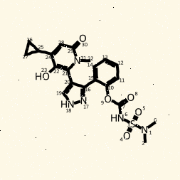 CN(C)S(=O)(=O)NC(=O)Oc1ccccc1-c1n[nH]cc1-c1c(O)c(C2CC2)cc(=O)n1C